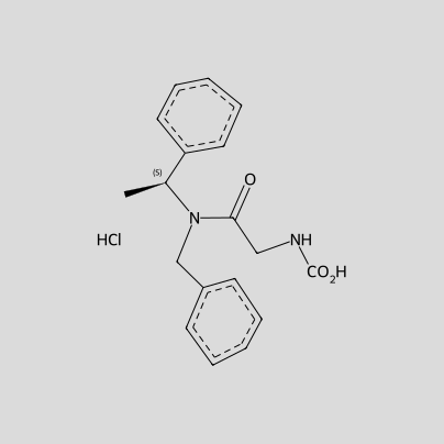 C[C@@H](c1ccccc1)N(Cc1ccccc1)C(=O)CNC(=O)O.Cl